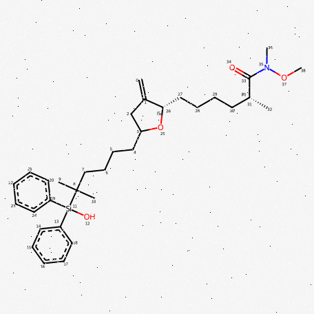 C=C1CC(CCCCC(C)(C)[Si](O)(c2ccccc2)c2ccccc2)O[C@H]1CCCC[C@@H](C)C(=O)N(C)OC